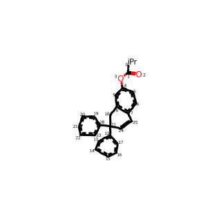 CC(C)C(=O)Oc1ccc2c(c1)CC(c1ccccc1)(c1ccccc1)C=C2